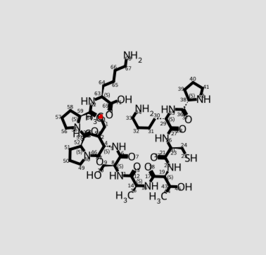 CCC(C)[C@H](NC(=O)[C@H](CO)NC(=O)[C@H](C)NC(=O)[C@@H](NC(=O)[C@H](CS)NC(=O)[C@H](CCCCN)NC(=O)[C@@H]1CCCN1)C(C)O)C(=O)N1CCC[C@H]1C(=O)N1CCC[C@H]1C(=O)N[C@@H](CCCCN)C(=O)O